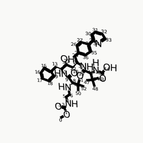 COC(=O)NCCN[C@H](C(=O)N[C@@H](Cc1ccccc1)[C@@H](O)C[C@@H](Cc1ccc(-c2ccccn2)cc1)NC(=O)[C@@H](NC(=O)O)C(C)(C)C)C(C)(C)C